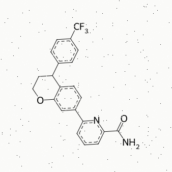 NC(=O)c1cccc(-c2ccc3c(c2)OCCC3c2ccc(C(F)(F)F)cc2)n1